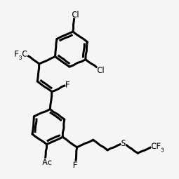 CC(=O)c1ccc(/C(F)=C/C(c2cc(Cl)cc(Cl)c2)C(F)(F)F)cc1C(F)CCSCC(F)(F)F